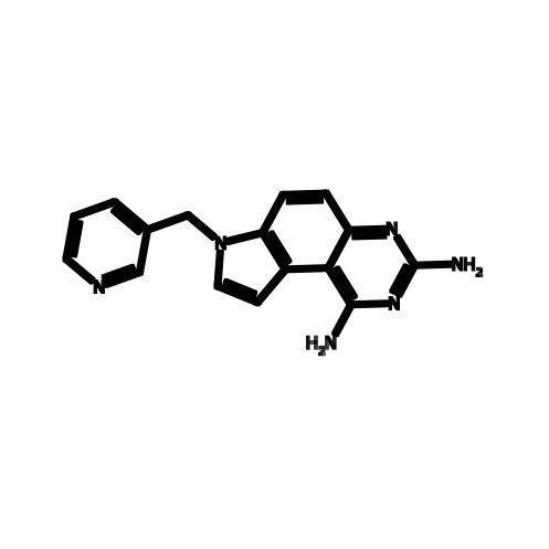 Nc1nc(N)c2c(ccc3c2ccn3Cc2cccnc2)n1